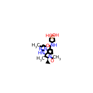 CC(=O)N1c2ccc(C(=O)NC3CCS(O)(O)CC3)cc2[C@H](Nc2nccc(C)n2)[C@@H](C)[C@@H]1C1CC1